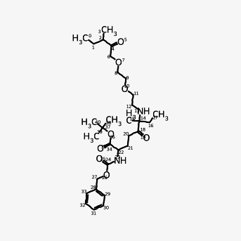 CCC(C)C(=O)COCCOCCNC(C)(CC)C(=O)CCC(NC(=O)OCc1ccccc1)C(=O)OC(C)(C)C